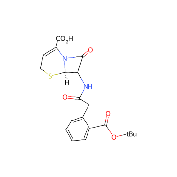 CC(C)(C)OC(=O)c1ccccc1CC(=O)NC1C(=O)N2C(C(=O)O)=CCS[C@H]12